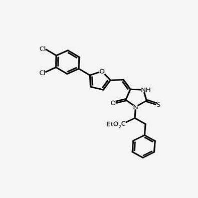 CCOC(=O)C(Cc1ccccc1)N1C(=O)/C(=C\c2ccc(-c3ccc(Cl)c(Cl)c3)o2)NC1=S